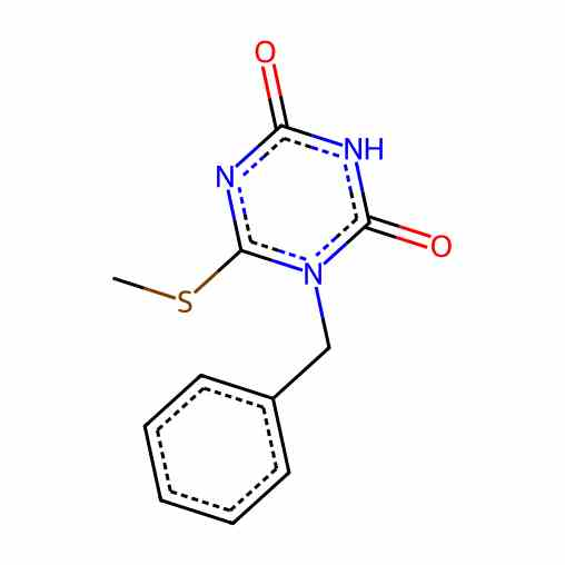 CSc1nc(=O)[nH]c(=O)n1Cc1ccccc1